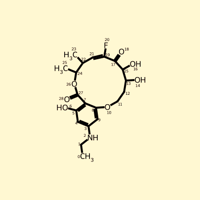 CCNc1cc(O)c2c(c1)OCCC(O)C(O)C(=O)/C(F)=C\C(C)C(C)OC2=O